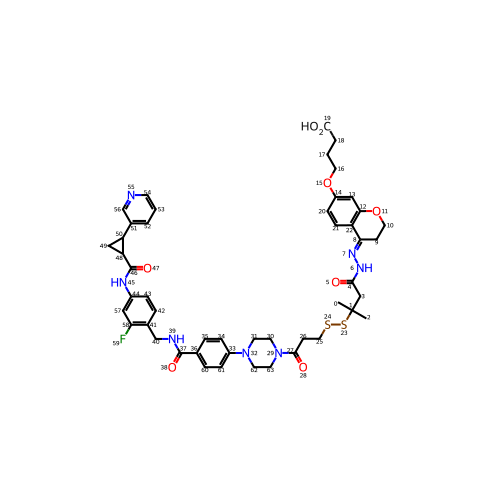 CC(C)(CC(=O)N/N=C1\CCOc2cc(OCCCC(=O)O)ccc21)SSCCC(=O)N1CCN(c2ccc(C(=O)NCc3ccc(NC(=O)C4CC4c4cccnc4)cc3F)cc2)CC1